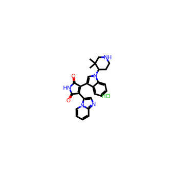 CC1(C)CNCCC1n1cc(C2=C(c3cnc4ccccn34)C(=O)NC2=O)c2ccccc21.Cl